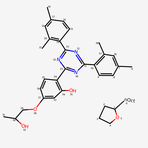 CCCCCCCCC1CCCO1.Cc1ccc(-c2nc(-c3ccc(C)cc3C)nc(-c3ccc(OCC(C)O)cc3O)n2)c(C)c1